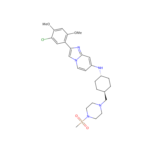 COc1cc(OC)c(-c2cn3ccc(N[C@H]4CC[C@H](CN5CCN(S(C)(=O)=O)CC5)CC4)cc3n2)cc1Cl